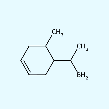 BC(C)C1CC=CCC1C